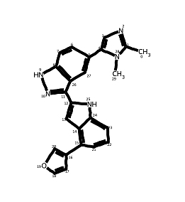 Cc1ncc(-c2ccc3[nH]nc(-c4cc5c(-c6ccoc6)cccc5[nH]4)c3c2)n1C